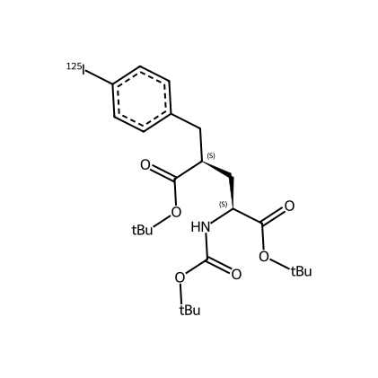 CC(C)(C)OC(=O)N[C@@H](C[C@H](Cc1ccc([125I])cc1)C(=O)OC(C)(C)C)C(=O)OC(C)(C)C